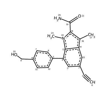 C#Cc1cc(-c2ccc(CO)cc2)c2c(c1)c(C)c(C(N)=O)n2C